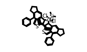 C[SiH](C)[Zr]([Cl])([Cl])([CH]1C(c2cccs2)=Cc2c1cc1c(c2-c2ccccc2)CCC1)[CH]1C(c2cccs2)=Cc2c1cc1c(c2-c2ccccc2)CCC1